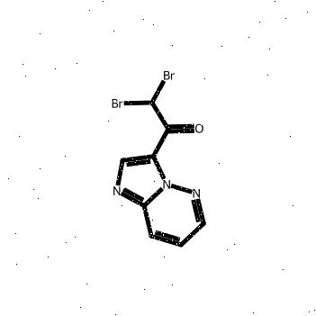 O=C(c1cnc2cccnn12)C(Br)Br